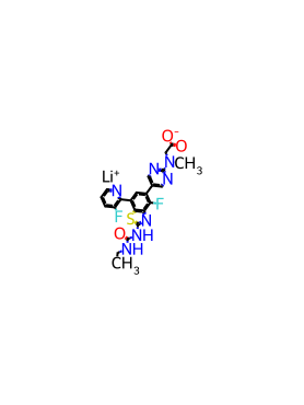 CCNC(=O)Nc1nc2c(F)c(-c3cnc(N(C)CC(=O)[O-])nc3)cc(-c3ncccc3F)c2s1.[Li+]